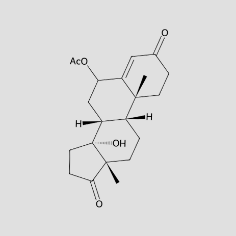 CC(=O)OC1C[C@@H]2[C@@H](CC[C@]3(C)C(=O)CC[C@@]23O)[C@@]2(C)CCC(=O)C=C12